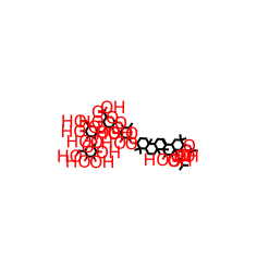 CC(=O)OC1C(OC(=O)C(C)C)C2(CO)C(CC1(C)C)C1=CCC3C4(C)CCC(OC5OC(C)C(OC6OC(C(=O)O)C(O)C(OC7OC(CO)C(O)C(O)C7OC7OC(CO)C(O)C(O)C7O)C6O)C(O)C5O)C(C)(C)C4CCC3(C)C1(C)C(O)C2O